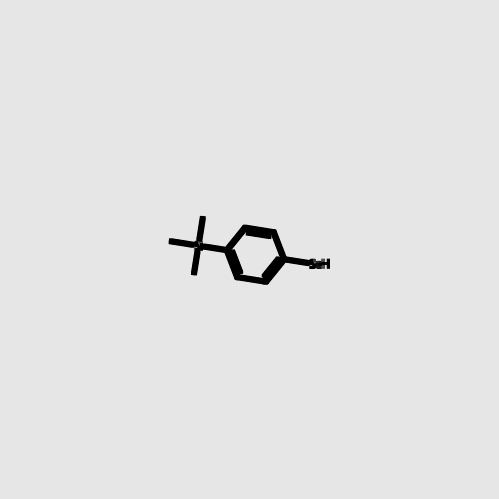 C[Si](C)(C)c1ccc([SeH])cc1